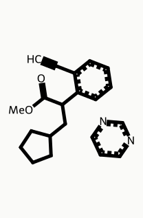 C#Cc1ccccc1C(CC1CCCC1)C(=O)OC.c1cncnc1